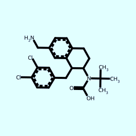 CC(C)(C)N(C(=O)O)C1CCc2ccc(CN)cc2C1Cc1ccc(Cl)c(Cl)c1